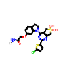 CCNC(=O)COc1ccc2c(c1)N(c1nc(-c3ccc(Cl)s3)nc3c1CS(O)(O)C3)CC2